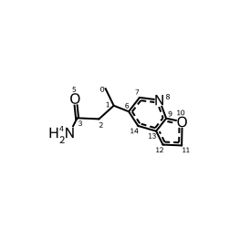 CC(CC(N)=O)c1cnc2occc2c1